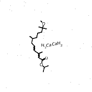 COC(C)(C)CCCC(C)C/C=C/C(C)=C/C(=O)OC(C)C.[CaH2].[CaH2]